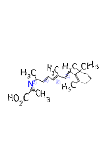 CC1=C(/C=C/C(C)=C/C=C/C(C)=N\[C@@H](C)C(=O)O)C(C)(C)CCC1